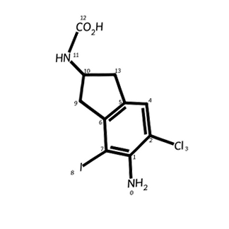 Nc1c(Cl)cc2c(c1I)CC(NC(=O)O)C2